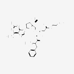 C#C[C@]1(CO[P@@](=O)(OCC(=O)OCCCCCCCCCCCC)OC(=O)C(N)Cc2ccccc2)O[C@@H](n2cnc3c(N)nc(F)nc32)C[C@@H]1O